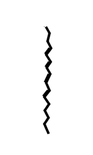 [CH2]CCC=CC=CC=CC=CCCCCC